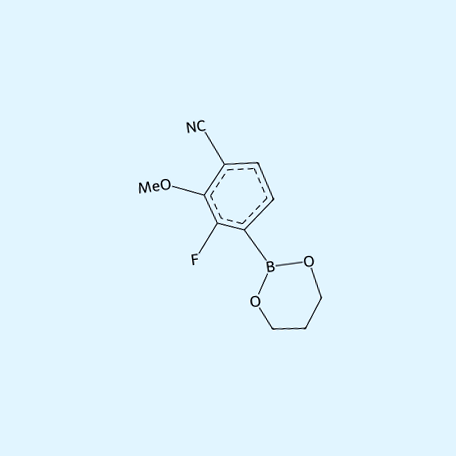 COc1c(C#N)ccc(B2OCCCO2)c1F